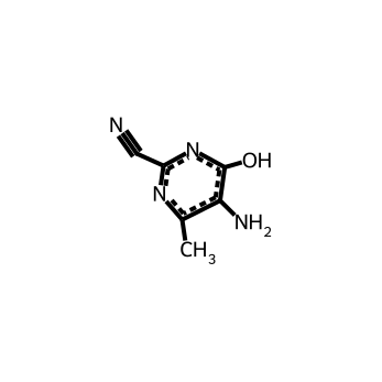 Cc1nc(C#N)nc(O)c1N